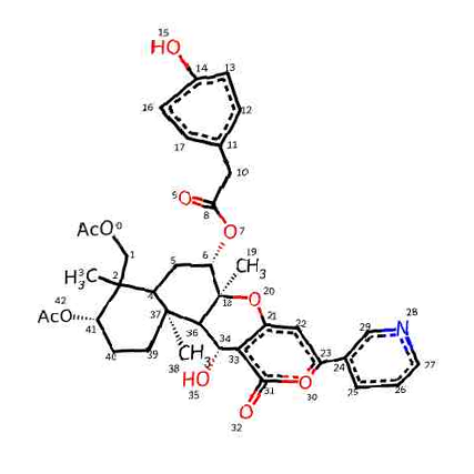 CC(=O)OCC1(C)C2C[C@H](OC(=O)Cc3ccc(O)cc3)[C@@]3(C)Oc4cc(-c5cccnc5)oc(=O)c4[C@H](O)C3[C@@]2(C)CC[C@@H]1OC(C)=O